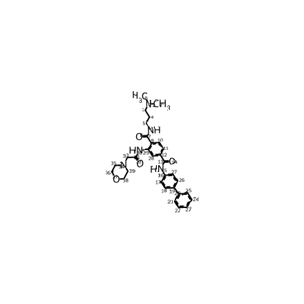 CN(C)CCCNC(=O)c1ccc(C(=O)Nc2ccc(-c3ccccc3)cc2)cc1NC(=O)CN1CCOCC1